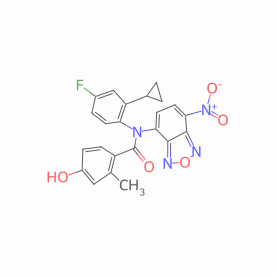 Cc1cc(O)ccc1C(=O)N(c1ccc(F)cc1C1CC1)c1ccc([N+](=O)[O-])c2nonc12